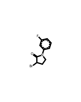 O=C1C(Br)CCN1c1cccc(F)c1